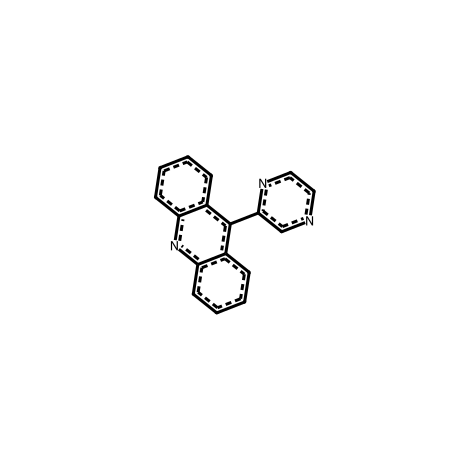 c1ccc2c(-c3cnccn3)c3ccccc3nc2c1